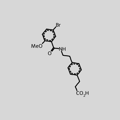 COc1ccc(Br)cc1C(=O)NCCc1ccc(CCC(=O)O)cc1